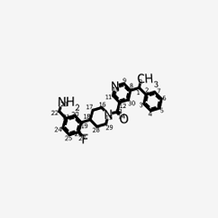 CC(c1ccccc1)c1cncc(C(=O)N2CCC(c3cc(CN)ccc3F)CC2)c1